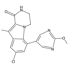 COc1ncc(-c2cc(Cl)cc3c(C)c4n(c23)CCNC4=O)cn1